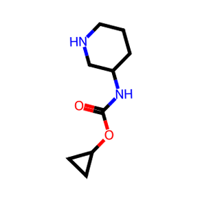 O=C(NC1CCCNC1)OC1CC1